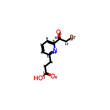 O=C(O)CCc1cccc(C(=O)CBr)n1